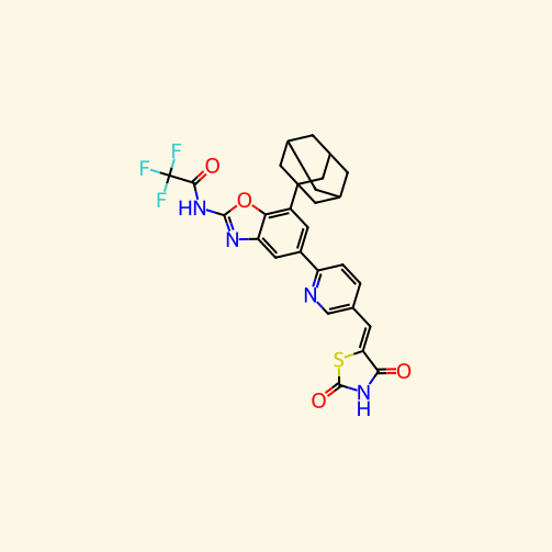 O=C1NC(=O)C(=Cc2ccc(-c3cc(C45CC6CC(CC(C6)C4)C5)c4oc(NC(=O)C(F)(F)F)nc4c3)nc2)S1